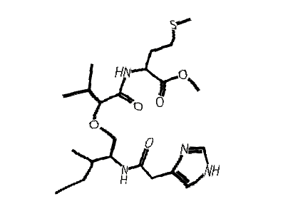 CCC(C)C(COC(C(=O)NC(CCSC)C(=O)OC)C(C)C)NC(=O)Cc1c[nH]cn1